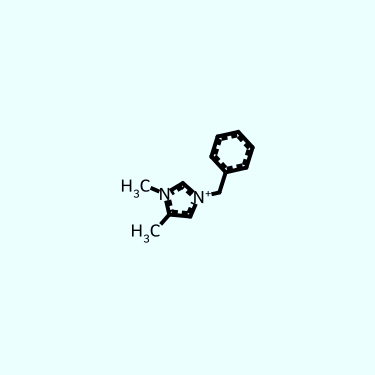 Cc1c[n+](Cc2ccccc2)cn1C